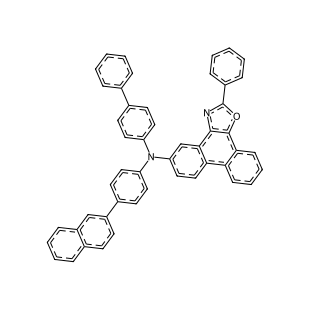 c1ccc(-c2ccc(N(c3ccc(-c4ccc5ccccc5c4)cc3)c3ccc4c5ccccc5c5oc(-c6ccccc6)nc5c4c3)cc2)cc1